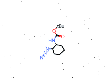 CC(C)(C)OC(=O)N[C@@H]1CCCCC1N=[N+]=[N-]